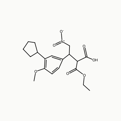 CCOC(=O)C(C(=O)O)C(C[N+](=O)[O-])c1ccc(OC)c(C2CCCC2)c1